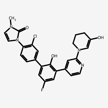 Cn1ccn(-c2ccc(-c3cc(F)cc(-c4ccnc(N5C=C(O)CCC5)c4)c3O)cc2Cl)c1=O